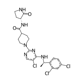 C[C@@H](Nc1nc(N2CCC(C(=O)N[C@@H]3CCNC3=O)CC2)ncc1Cl)c1ccc(Cl)cc1Cl